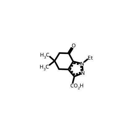 CCn1nc(C(=O)O)c2c1C(=O)CC(C)(C)C2